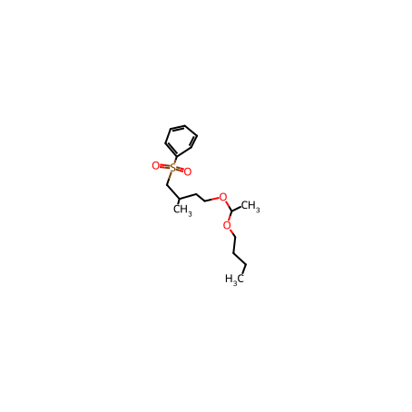 CCCCOC(C)OCCC(C)CS(=O)(=O)c1ccccc1